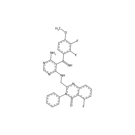 COc1ccc(C(=N)c2c(N)ncnc2NCc2nc3cccc(F)c3c(=O)n2-c2ccccc2)c(F)c1F